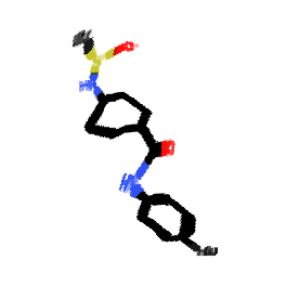 CCCCc1ccc(NC(=O)C2CCC(N[S+]([O-])C(C)(C)C)CC2)cc1